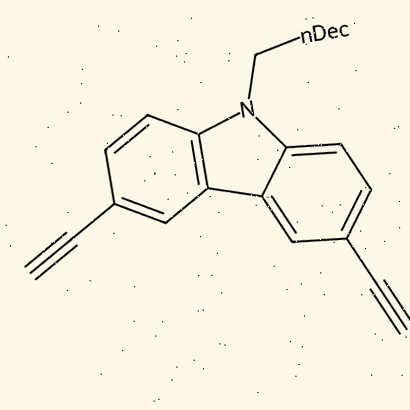 C#Cc1ccc2c(c1)c1cc(C#C)ccc1n2CCCCCCCCCCC